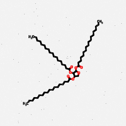 CCCCCCCCCCCCCCCCCC(=O)OC1COC(OC(=O)CCCCCCCCCCCCCCCCC)C1OC(=O)CCCCCCCCCCCCCCCCC